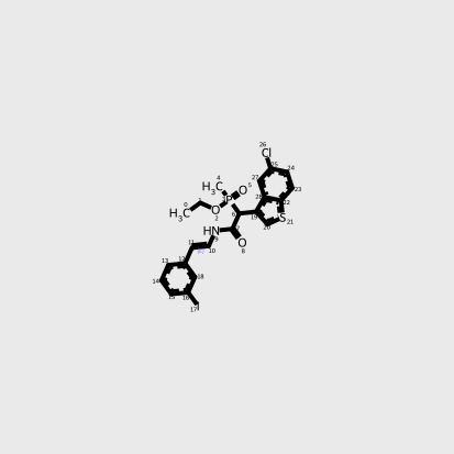 CCOP(C)(=O)C(C(=O)N/C=C/c1cccc(I)c1)c1csc2ccc(Cl)cc12